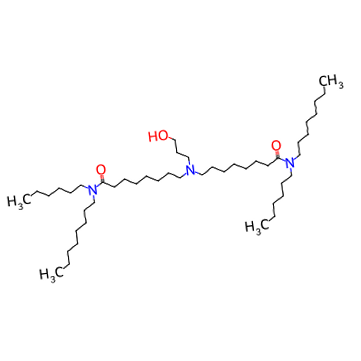 CCCCCCCCN(CCCCCC)C(=O)CCCCCCCN(CCCO)CCCCCCCC(=O)N(CCCCCC)CCCCCCCC